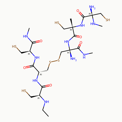 CCN[C@@H](CS)C(=O)N[C@@H](CSSC[C@](N)(NC(=O)[C@](C)(CS)NC(=O)[C@](N)(CS)NC)C(=O)NC)C(=O)N[C@@H](CS)C(=O)NC